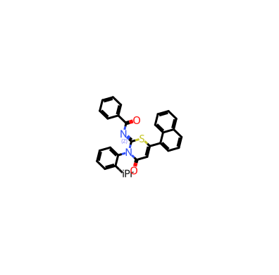 CC(C)c1ccccc1-n1c(=O)cc(-c2cccc3ccccc23)s/c1=N\C(=O)c1ccccc1